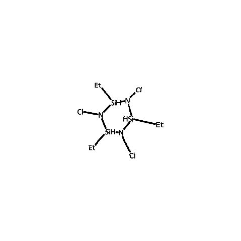 CC[SiH]1N(Cl)[SiH](CC)N(Cl)[SiH](CC)N1Cl